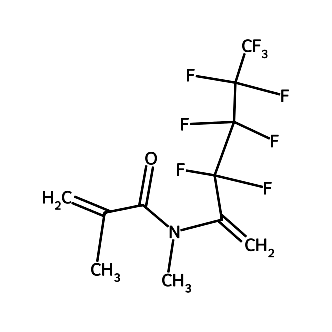 C=C(C)C(=O)N(C)C(=C)C(F)(F)C(F)(F)C(F)(F)C(F)(F)F